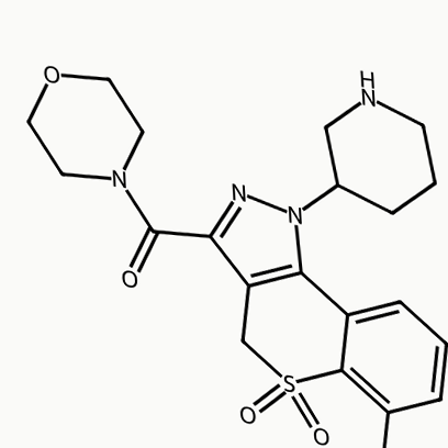 O=C(c1nn(C2CCCNC2)c2c1CS(=O)(=O)c1c(F)cccc1-2)N1CCOCC1